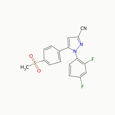 CS(=O)(=O)c1ccc(-c2cc(C#N)nn2-c2ccc(F)cc2F)cc1